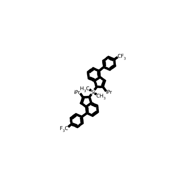 CC(C)C1=Cc2c(-c3ccc(C(F)(F)F)cc3)cccc2C1[Si](C)(C)C1C(C(C)C)=Cc2c(-c3ccc(C(F)(F)F)cc3)cccc21